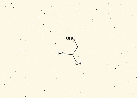 O=[C]CC(O)O